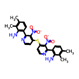 Cc1ccc(-c2nccc(Sc3ccnc(-c4ccc(C)c(C)c4N)c3[N+](=O)[O-])c2[N+](=O)[O-])c(N)c1C